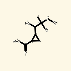 COC(=O)C1CC1C(O)C(C)(OO)C(C)C